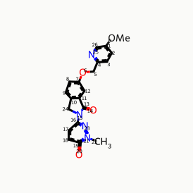 COc1ccc(COc2ccc3c(c2)C(=O)N(c2ccc(=O)n(C)n2)C3)nc1